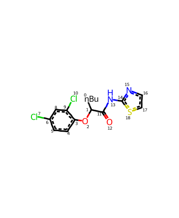 CCCCC(Oc1ccc(Cl)cc1Cl)C(=O)Nc1nccs1